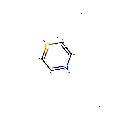 [c]1cnccp1